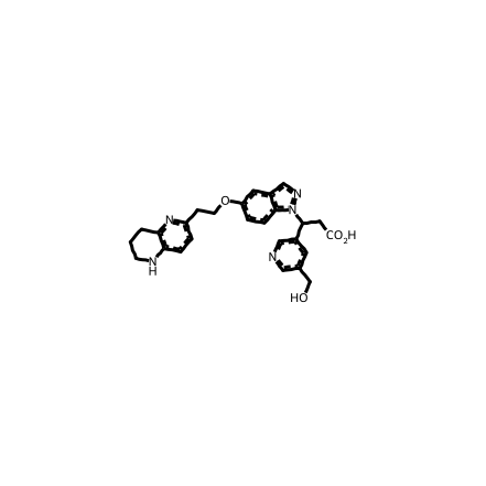 O=C(O)CC(c1cncc(CO)c1)n1ncc2cc(OCCc3ccc4c(n3)CCCN4)ccc21